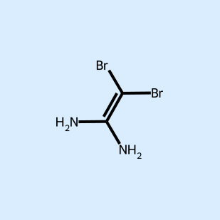 NC(N)=C(Br)Br